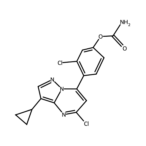 NC(=O)Oc1ccc(-c2cc(Cl)nc3c(C4CC4)cnn23)c(Cl)c1